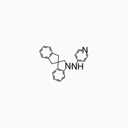 c1ccc2c(c1)CC1(C2)CN(Nc2ccncc2)c2ccccc21